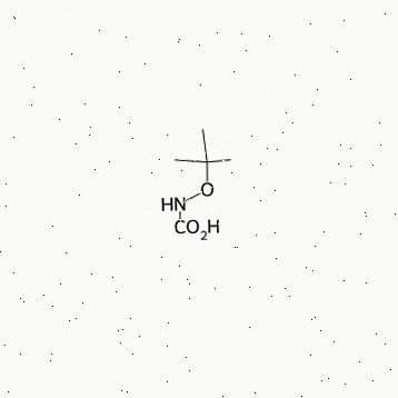 CC(C)(C)ONC(=O)O